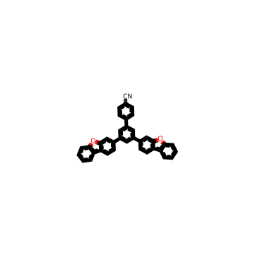 N#Cc1ccc(-c2cc(-c3ccc4c(c3)oc3ccccc34)cc(-c3ccc4c(c3)oc3ccccc34)c2)cc1